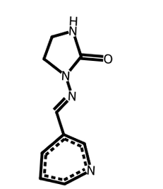 O=C1NCCN1N=Cc1cccnc1